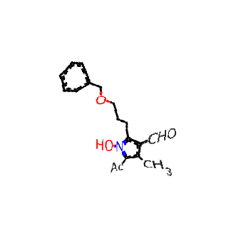 CC(=O)c1c(C)c(C=O)c(CCCOCc2ccccc2)n1O